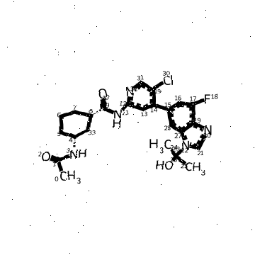 CC(=O)N[C@@H]1CCC[C@H](C(=O)Nc2cc(-c3cc(F)c4ncn(C(C)(C)O)c4c3)c(Cl)cn2)C1